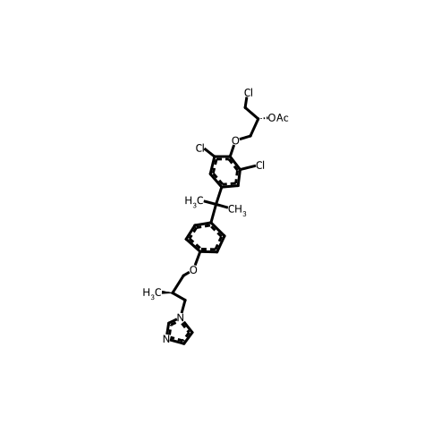 CC(=O)O[C@@H](CCl)COc1c(Cl)cc(C(C)(C)c2ccc(OC[C@H](C)Cn3ccnc3)cc2)cc1Cl